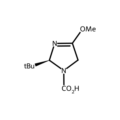 COC1=N[C@H](C(C)(C)C)N(C(=O)O)C1